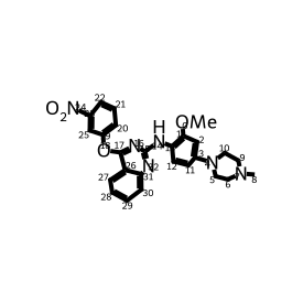 COc1cc(N2CCN(C)CC2)ccc1Nc1nc(Oc2cccc([N+](=O)[O-])c2)c2ccccc2n1